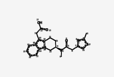 Cc1nc(CC(=O)N(C)[C@@H]2CCc3c(CC(=O)O)c4ccccc4n3C2)cs1